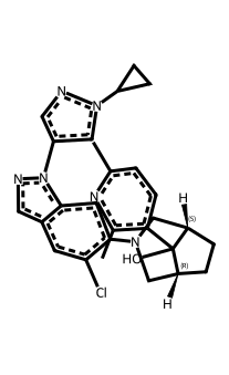 Cc1ccc(C2(O)[C@@H]3CC[C@H]2CN(c2cc4c(cnn4-c4cnn(C5CC5)c4)cc2Cl)C3)c(C)n1